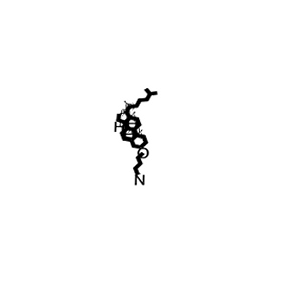 CC(C)CCC[C@@H](C)[C@H]1CC[C@H]2[C@@H]3CC=C4CC(OCCCC#N)CC[C@]4(C)[C@H]3CC[C@]12C